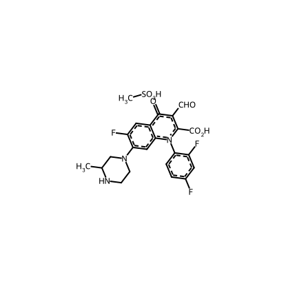 CC1CN(c2cc3c(cc2F)c(=O)c(C=O)c(C(=O)O)n3-c2ccc(F)cc2F)CCN1.CS(=O)(=O)O